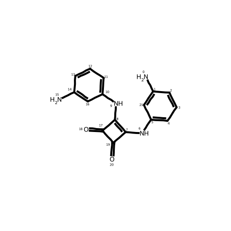 Nc1cccc(Nc2c(Nc3cccc(N)c3)c(=O)c2=O)c1